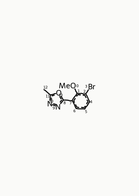 COc1c(Br)cccc1-c1nnc(C)o1